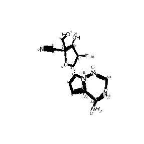 N#C[C@]1(CO)O[C@@H](c2ccc3c(N)ncnn23)[C@H](F)[C@@H]1O